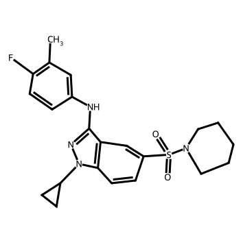 Cc1cc(Nc2nn(C3CC3)c3ccc(S(=O)(=O)N4CCCCC4)cc23)ccc1F